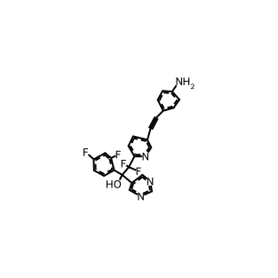 Nc1ccc(C#Cc2ccc(C(F)(F)C(O)(c3cncnc3)c3ccc(F)cc3F)nc2)cc1